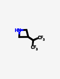 FC(F)(F)C(C1CNC1)C(F)(F)F